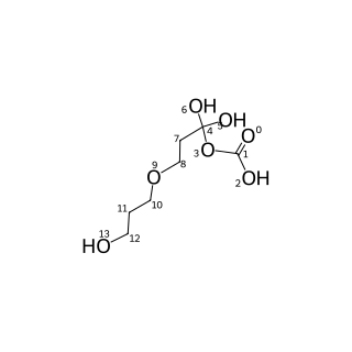 O=C(O)OC(O)(O)CCOCCCO